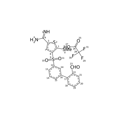 CSc1sc(C(=N)N)cc1S(=O)(=O)c1cccc(-c2ccccc2C=O)c1.O=C(O)C(F)(F)F